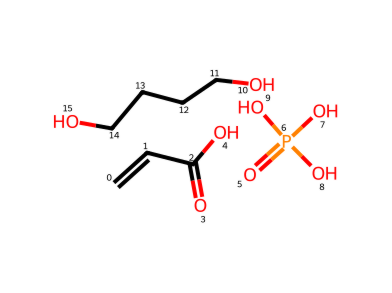 C=CC(=O)O.O=P(O)(O)O.OCCCCO